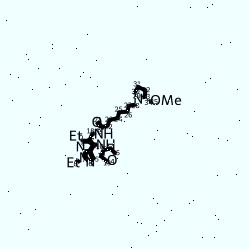 CCc1nc2c(cnn2CC)c(NC2CCOCC2)c1CNC(=O)CCCCCCCN1CCC[C@@H]1COC